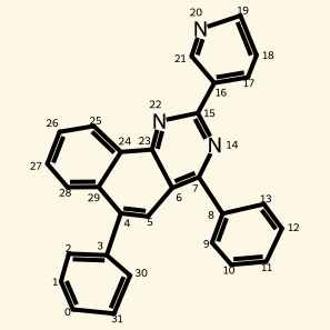 c1ccc(-c2cc3c(-c4ccccc4)nc(-c4cccnc4)nc3c3ccccc23)cc1